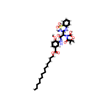 CCCCCCCCCCCCCCOC(=O)c1ccc(OC)c(NC(=O)C(C2=Nc3ccccc3S(=O)(=O)N2C)N2C(=O)OC(C)(C)C2=O)c1